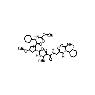 CCCCC(NC(=O)[C@@H]1C[C@@H](OC(C)(C)C)CN1C(=O)[C@@H](NC(=O)OC(C)(C)C)C1CCCCC1)C(=O)C(=O)NCC(=O)N[C@H](C(N)=O)C1CCCCC1